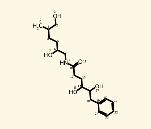 CC(CO)CCC(O)CNC(=O)CCC(O)C(O)Cc1ccccc1